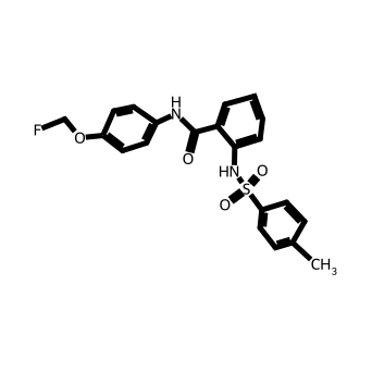 Cc1ccc(S(=O)(=O)Nc2ccccc2C(=O)Nc2ccc(OCF)cc2)cc1